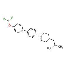 CC(C)C[C@H]1CC[Si@H](c2ccc(-c3ccc(OC(F)F)cc3)cc2)CC1